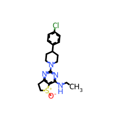 CCNc1nc(N2CCC(c3ccc(Cl)cc3)CC2)nc2c1[S+]([O-])CC2